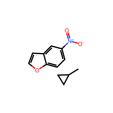 CC1CC1.O=[N+]([O-])c1ccc2occc2c1